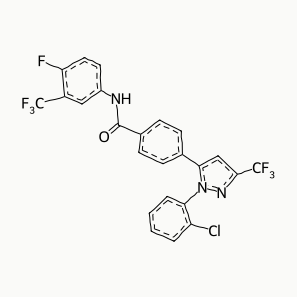 O=C(Nc1ccc(F)c(C(F)(F)F)c1)c1ccc(-c2cc(C(F)(F)F)nn2-c2ccccc2Cl)cc1